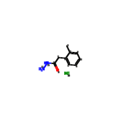 Cc1ccccc1CC(=O)NN.Cl